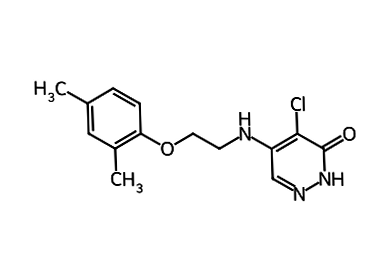 Cc1ccc(OCCNc2cn[nH]c(=O)c2Cl)c(C)c1